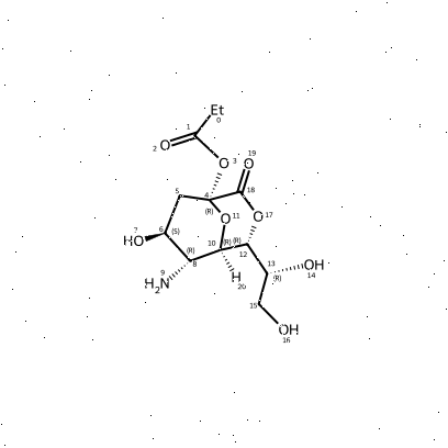 CCC(=O)O[C@@]12C[C@H](O)[C@@H](N)[C@@H](O1)[C@@H]([C@H](O)CO)OC2=O